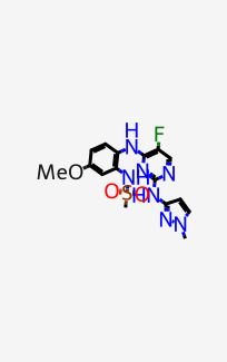 COc1ccc(Nc2nc(Nc3ccn(C)n3)ncc2F)c(NS(C)(=O)=O)c1